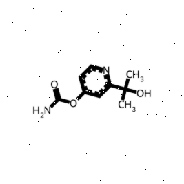 CC(C)(O)c1cc(OC(N)=O)ccn1